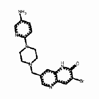 Nc1ccc(N2CCN(Cc3cnc4cc(Br)c(=O)[nH]c4c3)CC2)nc1